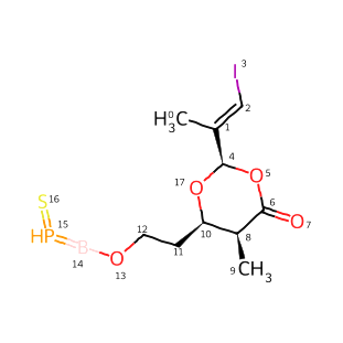 C/C(=C\I)[C@H]1OC(=O)[C@@H](C)[C@@H](CCOB=[PH]=S)O1